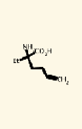 C=CCCC(N)(CC)C(=O)O